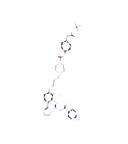 COc1c(OCCCN2CCN(C(=O)Oc3ccc(CC(=O)OC(C)(C)C)c(F)c3)CC2)ccc2c1N=C(NC(=O)c1cnc(N)nc1)N1CCN=C21